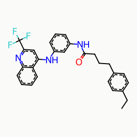 CCc1ccc(CCCC(=O)Nc2cccc(Nc3cc(C(F)(F)F)nc4ccccc34)c2)cc1